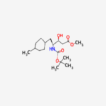 COC(=O)C[C@H](O)[C@H](CC1CCC(C)CC1)NC(=O)OC(C)(C)C